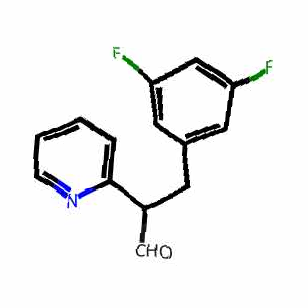 O=CC(Cc1cc(F)cc(F)c1)c1ccccn1